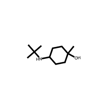 CC1(O)CCC(NC(C)(C)C)CC1